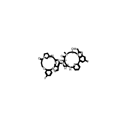 CO[C@H]1CN(C)C(=O)[C@@H]2C[C@@H](CN2c2nc3nc4c2cnn4-c2ccc(F)cc2OCCC(=O)N2CC[C@H](C3)C2)Nc2cccc(n2)-c2cc(F)cc3nc(C)n(c23)C1